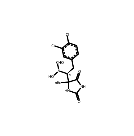 CCCCC1([C@H](Cc2ccc(Cl)c(Cl)c2)N(O)C=O)NC(=O)NC1=O